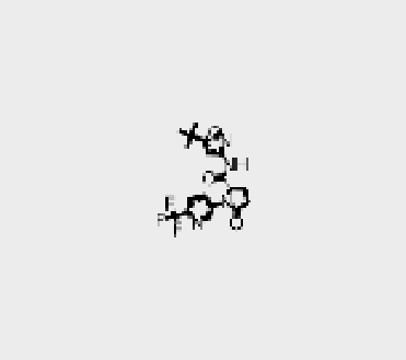 CC(C)(C)c1cc(NC(=O)[C@@H]2CCC(=O)N2c2ccc(C(F)(F)F)nc2)no1